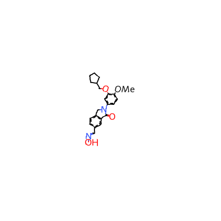 COc1ccc(N2Cc3ccc(C=NO)cc3C2=O)cc1OCC1CCCC1